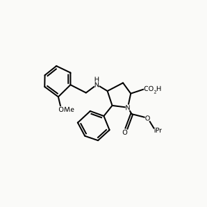 COc1ccccc1CNC1CC(C(=O)O)N(C(=O)OC(C)C)C1c1ccccc1